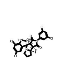 O=C1[C@H]2[C@H]3CCCN3[C@@]3(c4cc(Cl)cc(Cl)c4NC3O)[C@H]2C(=O)N1c1cc(Cl)cc(Cl)c1